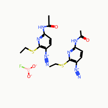 CCSc1nc(NC(C)=O)ccc1[N+]#N.CCSc1nc(NC(C)=O)ccc1[N+]#N.[O-]B([O-])F